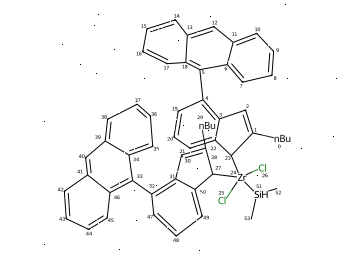 CCCCC1=Cc2c(-c3c4ccccc4cc4ccccc34)cccc2[CH]1[Zr]([Cl])([Cl])([CH]1C(CCCC)=Cc2c(-c3c4ccccc4cc4ccccc34)cccc21)[SiH](C)C